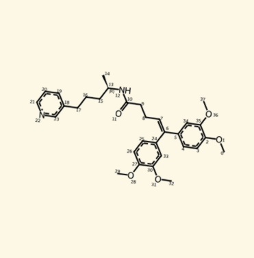 COc1ccc(C(=CCCC(=O)N[C@H](C)CCCc2cccnc2)c2ccc(OC)c(OC)c2)cc1OC